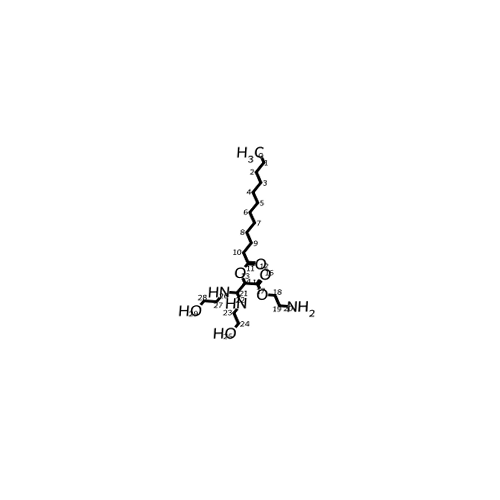 CCCCCCCCCCCC(=O)OC(C(=O)OCCN)C(NCCO)NCCO